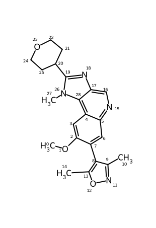 COc1cc2c(cc1-c1c(C)noc1C)ncc1nc(C3CCOCC3)n(C)c12